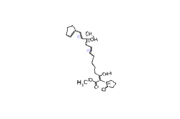 COC(=O)C(=C(O)CCCC/C=C/C[C@](C)(O)/C=C/C1=CCCC1)[C@H]1CCCC1=O